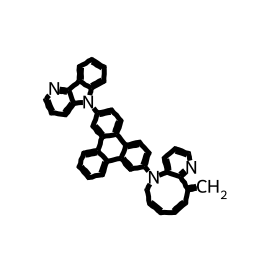 C=C1/C=C\C=C/CN(c2ccc3c4ccc(-n5c6ccccc6c6ncccc65)cc4c4ccccc4c3c2)c2cccnc21